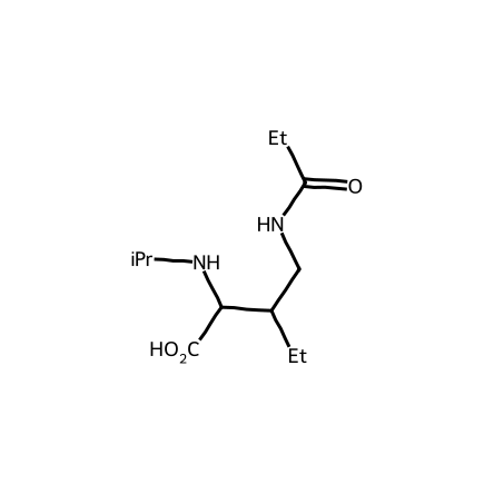 CCC(=O)NCC(CC)C(NC(C)C)C(=O)O